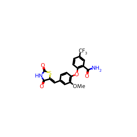 COc1cc(/C=C2\SC(=O)NC2=O)ccc1Oc1ccc(C(F)(F)F)cc1C(N)=O